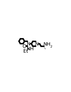 CCNC(=O)N(CC1CCCCC1)C1CCN(CC[C@@H](C)N)CC1